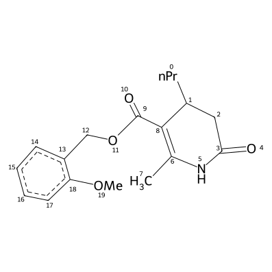 CCCC1CC(=O)NC(C)=C1C(=O)OCc1ccccc1OC